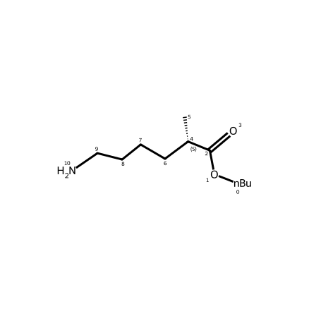 CCCCOC(=O)[C@@H](C)CCCCN